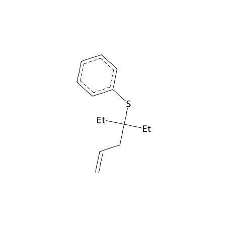 C=CCC(CC)(CC)Sc1ccccc1